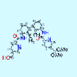 COC(OC)c1ccc(C(=O)Nc2cccc(-c3cccc(NC(=O)c4ccc(CO)cn4)c3C)c2C)nc1